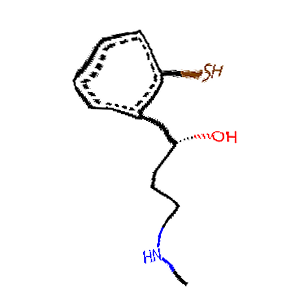 CNCC[C@@H](O)c1ccccc1S